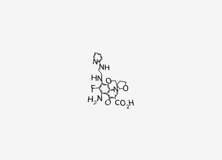 Nc1c(F)c(NCCNc2ccccn2)c2c3c1c(=O)c(C(=O)O)cn3C1(CCOC1)CO2